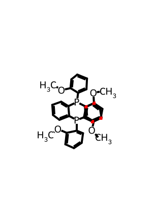 COc1ccccc1P(c1ccccc1OC)c1ccccc1P(c1ccccc1OC)c1ccccc1OC